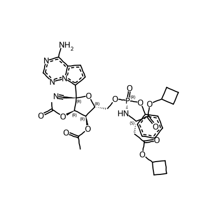 CC(=O)O[C@H]1[C@@H](OC(C)=O)[C@](C#N)(c2ccc3c(N)ncnn23)O[C@@H]1CO[P@](=O)(N[C@@H](CC(=O)OC1CCC1)C(=O)OC1CCC1)Oc1ccccc1